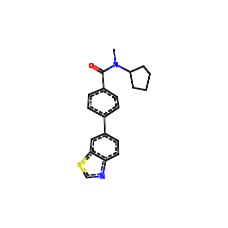 CN(C(=O)c1ccc(-c2ccc3ncsc3c2)cc1)C1CCCC1